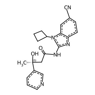 C[C@](O)(CC(=O)Nc1nc2ccc(C#N)cc2n1C1CCC1)c1cccnc1